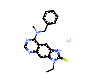 CCn1c(=S)[nH]c2cc3c(N(C)Cc4ccccc4)ncnc3cc21.Cl